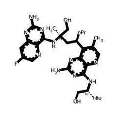 CCCC[C@H](CO)Nc1nc(N)nc2c(C(CCC)C[C@](C)(CO)Nc3nc(N)nc4cc(F)cnc34)c(C)cnc12